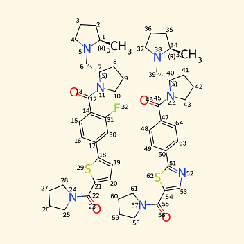 C[C@@H]1CCCN1C[C@@H]1CCCN1C(=O)c1ccc(-c2ccc(C(=O)N3CCCC3)s2)cc1F.C[C@@H]1CCCN1C[C@@H]1CCCN1C(=O)c1ccc(-c2ncc(C(=O)N3CCCC3)s2)cc1